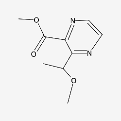 COC(=O)c1nccnc1C(C)OC